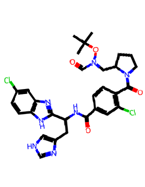 CC(C)(C)ON(C=O)CC1CCCN1C(=O)c1ccc(C(=O)NC(Cc2c[nH]cn2)c2nc3cc(Cl)ccc3[nH]2)cc1Cl